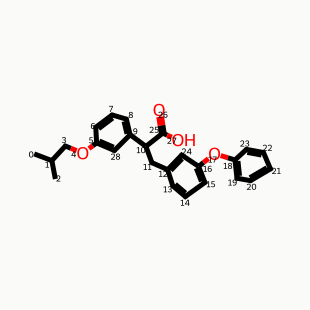 CC(C)COc1cccc(C(Cc2cccc(Oc3ccccc3)c2)C(=O)O)c1